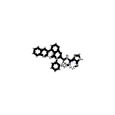 C=N/C(N[C@@H](C)c1cc2cccc(-c3cnc4ccccc4c3)c2c(=O)n1-c1ccccc1)=C1/N=CS/C1=N/C